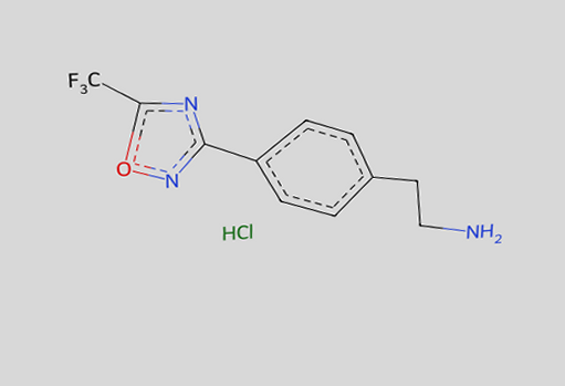 Cl.NCCc1ccc(-c2noc(C(F)(F)F)n2)cc1